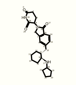 O=C1CCC(N2Cc3cc(C[C@H]4CCCC[C@@H]4NC4CCCC4)ccc3C2=O)C(=O)N1